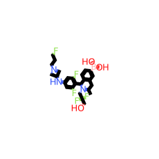 CC1Cc2cc(B(O)O)ccc2C(c2c(F)cc(NC3CN(CCCF)C3)cc2F)N1CC(F)(F)CO